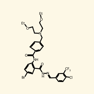 CCOCCN(CCOCC)Cc1ccc(C(=O)Nc2ccc(Br)cc2C(=O)NN=Cc2ccc(Cl)c(C(F)(F)F)c2)cc1